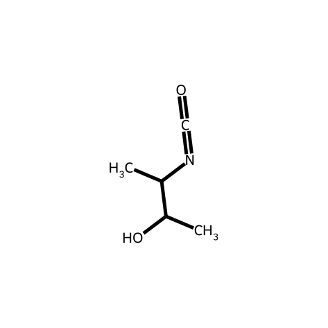 CC(O)C(C)N=C=O